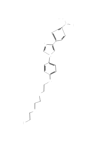 CN(C)c1ccc(-c2cn(-c3ccc(OCCOCCOCCF)cc3)cn2)cc1